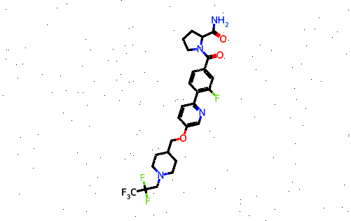 NC(=O)C1CCCN1C(=O)c1ccc(-c2ccc(OCC3CCN(CC(F)(F)C(F)(F)F)CC3)cn2)c(F)c1